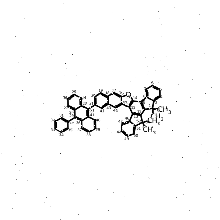 CC1(C)c2ccccc2-c2c1c1c(c3c2oc2cc4ccc(-c5c6ccccc6c(-c6ccccc6)c6ccccc56)cc4cc23)-c2ccccc2C1(C)C